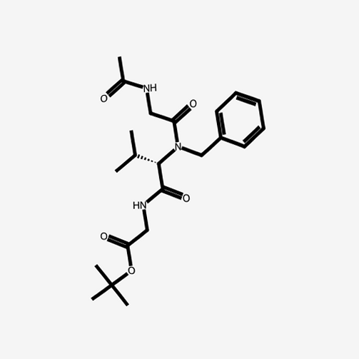 CC(=O)NCC(=O)N(Cc1ccccc1)[C@H](C(=O)NCC(=O)OC(C)(C)C)C(C)C